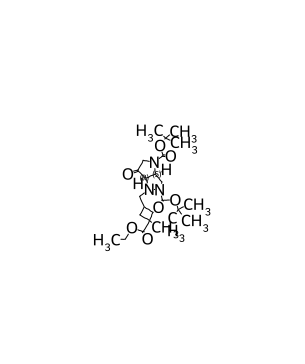 CCOC(=O)C1(C)CC(CN2[C@H]3C(=O)CN(C(=O)OC(C)(C)C)[C@H]3CN2C(=O)OC(C)(C)C)C1